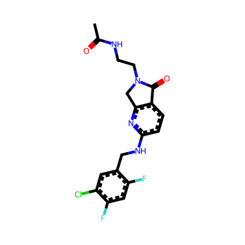 CC(=O)NCCN1Cc2nc(NCc3cc(Cl)c(F)cc3F)ccc2C1=O